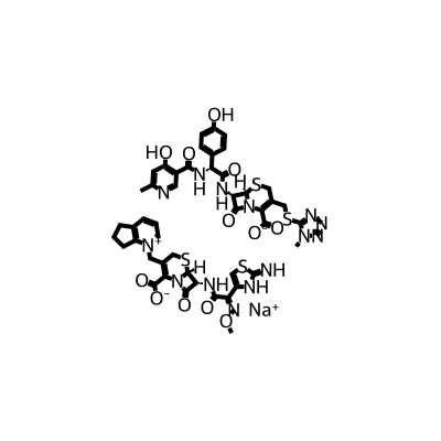 CO/N=C(\C(=O)N[C@@H]1C(=O)N2C(C(=O)[O-])=C(C[n+]3cccc4c3CCC4)CS[C@H]12)c1csc(=N)[nH]1.Cc1cc(O)c(C(=O)N[C@@H](C(=O)N[C@@H]2C(=O)N3C(C(=O)[O-])=C(CSc4nnnn4C)CS[C@H]23)c2ccc(O)cc2)cn1.[Na+]